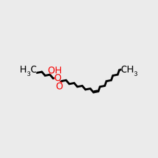 CCCCCCCC/C=C\CCCCCCCC(=O)OCC(O)CCCC